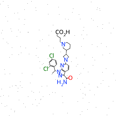 CC(c1ccc(Cl)cc1Cl)n1nc(C(N)=O)c2ccc(N3CC(C4CCCN(CCCC(=O)O)C4)C3)nc21